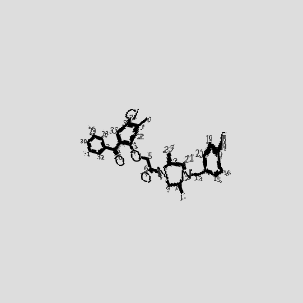 Cc1cc(OCC(=O)N2CC(C)N(Cc3ccc(F)cc3)CC2C)c(C(=O)c2ccccc2)cc1Cl